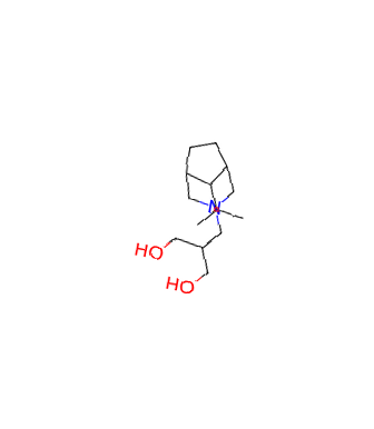 CC(C)C1C2CCC1CN(CC(CO)CO)C2